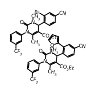 CCOC(=O)C1=C(C)N(c2cccc(C(F)(F)F)c2)C(=O)N(C)C1c1ccc(C#N)cc1-c1ccco1.CCOC(=O)C1=C(C)N(c2cccc(C(F)(F)F)c2)C(=O)N(C)C1c1ccc(C#N)cc1Br